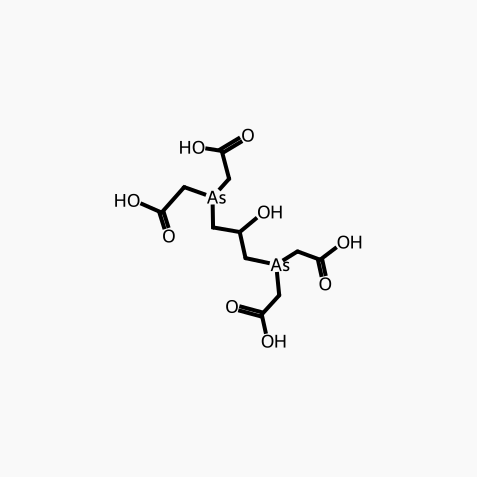 O=C(O)C[As](CC(=O)O)CC(O)C[As](CC(=O)O)CC(=O)O